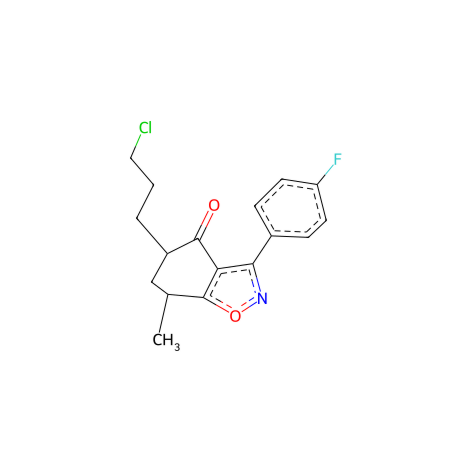 CC1CC(CCCCl)C(=O)c2c(-c3ccc(F)cc3)noc21